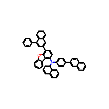 c1ccc(-c2cc(-c3ccc(N(c4ccc(-c5ccc6ccccc6c5)cc4)c4cccc5ccccc45)c4c3oc3ccccc34)cc3ccccc23)cc1